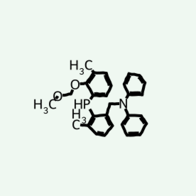 COCOc1c(C)cccc1Pc1c(C)cccc1CN(c1ccccc1)c1ccccc1